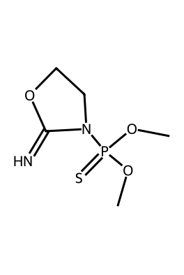 COP(=S)(OC)N1CCOC1=N